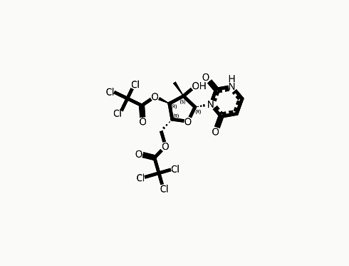 C[C@]1(O)[C@H](OC(=O)C(Cl)(Cl)Cl)[C@@H](COC(=O)C(Cl)(Cl)Cl)O[C@H]1n1c(=O)cc[nH]c1=O